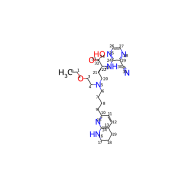 CCOCCN(CCCCc1ccc2c(n1)NCCC2)CC[C@H](Nc1nccnc1C#N)C(=O)O